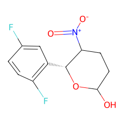 O=[N+]([O-])C1CCC(O)O[C@@H]1c1cc(F)ccc1F